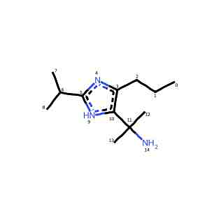 CCCc1nc(C(C)C)[nH]c1C(C)(C)N